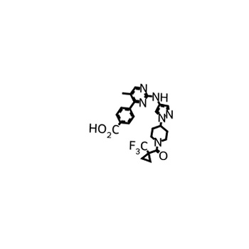 Cc1cnc(Nc2cnn(C3CCN(C(=O)C4(C(F)(F)F)CC4)CC3)c2)nc1-c1ccc(C(=O)O)cc1